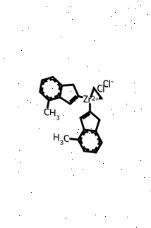 Cc1cccc2c1C=[C]([Zr+2]1([C]3=Cc4c(C)cccc4C3)[CH2][CH2]1)C2.[Cl-].[Cl-]